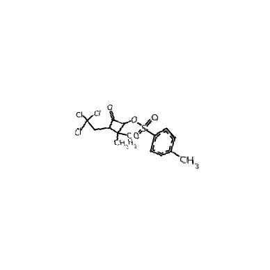 Cc1ccc(S(=O)(=O)OC2C(=O)C(CC(Cl)(Cl)Cl)C2(C)C)cc1